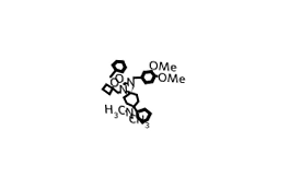 COc1ccc(CN2C[C@]3(CC[C@](c4ccccc4)(N(C)C)CC3)N(CC3(OCc4ccccc4)CCC3)C2=O)cc1OC